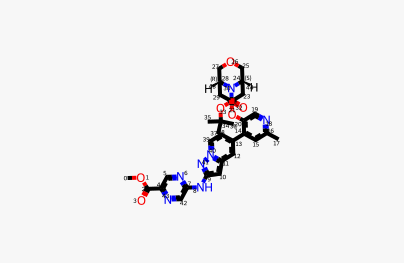 COC(=O)c1cnc(Nc2cc3cc(-c4cc(C)ncc4OC4C[C@H]5COC[C@@H](C4)N5C(=O)OC(C)(C)C)ccn3n2)cn1